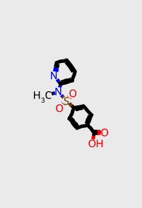 CN(c1ccccn1)S(=O)(=O)c1ccc(C(=O)O)cc1